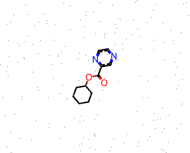 O=C(OC1CCCCC1)c1cnccn1